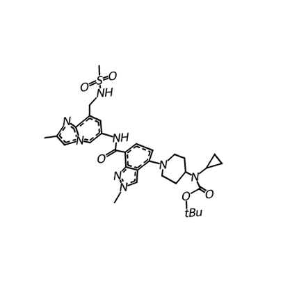 Cc1cn2cc(NC(=O)c3ccc(N4CCC(N(C(=O)OC(C)(C)C)C5CC5)CC4)c4cn(C)nc34)cc(CNS(C)(=O)=O)c2n1